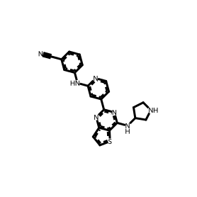 N#Cc1cccc(Nc2cc(-c3nc(NC4CCNC4)c4sccc4n3)ccn2)c1